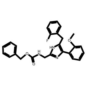 COc1ccccc1-c1nc(CNC(=O)OCc2ccccc2)[nH]c1Cc1ccccc1F